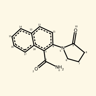 NC(=O)c1c(N2CCCC2=O)ccc2ccccc12